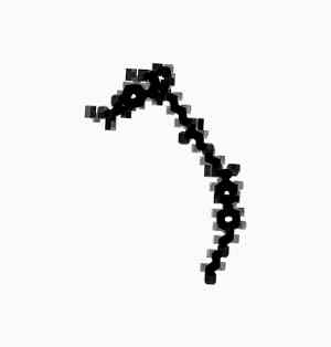 CNc1nc2cc(-c3nn(CCCCNC(=O)CCOCCNC(=O)c4cnc(N5CCN(CCOCCC=O)CC5)nc4)c4ncnc(N)c34)ccc2o1